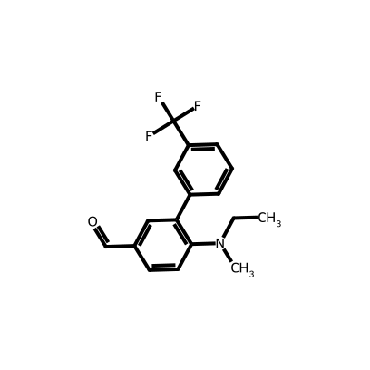 CCN(C)c1ccc(C=O)cc1-c1cccc(C(F)(F)F)c1